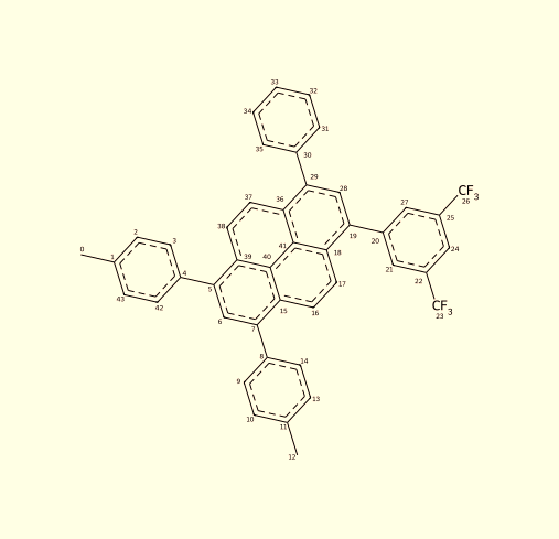 Cc1ccc(-c2cc(-c3ccc(C)cc3)c3ccc4c(-c5cc(C(F)(F)F)cc(C(F)(F)F)c5)cc(-c5ccccc5)c5ccc2c3c54)cc1